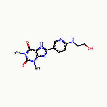 CCCn1c(=O)c2[nH]c(-c3ccc(NCCO)nc3)nc2n(CCC)c1=O